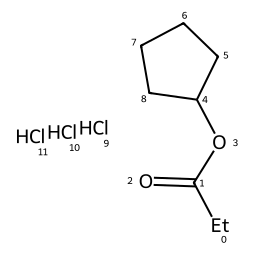 CCC(=O)OC1CCCC1.Cl.Cl.Cl